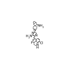 Nc1nc(N2CCC3(CC2)COCC3N)cnc1Sc1ccc(Cl)c2c1C(F)(F)CCN2